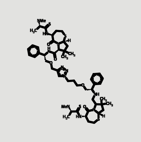 CN[C@@H](C)C(=S)N[C@H]1CCS[C@H]2CC(C)(C)C(CN[C@H](COCCCn3cc(COC[C@@H](NC(=O)[C@H]4N5C(=O)[C@@H](NC(=S)[C@H](C)NC)CCS[C@H]5CC4(C)C)c4ccccc4)nn3)c3ccccc3)N2C1=O